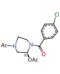 CC(=O)O[C@H]1CN(C(C)=O)CCN1C(=O)c1ccc(Cl)cc1